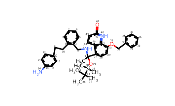 CC(NCc1ccccc1CCc1ccc(N)cc1)(O[Si](C)(C)C(C)(C)C)c1ccc(OCc2ccccc2)c2[nH]c(=O)ccc12